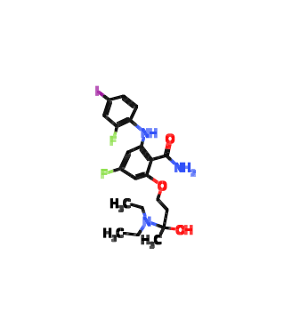 CCN(CC)C(C)(O)CCOc1cc(F)cc(Nc2ccc(I)cc2F)c1C(N)=O